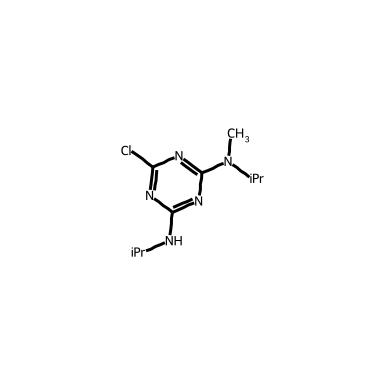 CC(C)Nc1nc(Cl)nc(N(C)C(C)C)n1